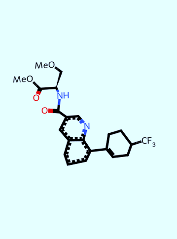 COC[C@@H](NC(=O)c1cnc2c(C3=CCC(C(F)(F)F)CC3)cccc2c1)C(=O)OC